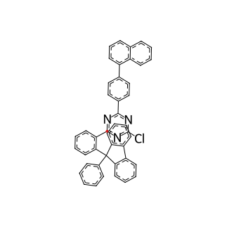 Clc1nc(-c2ccc(-c3cccc4ccccc34)cc2)nc(-c2ccccc2C2(c3ccccc3)c3ccccc3-c3ccccc32)n1